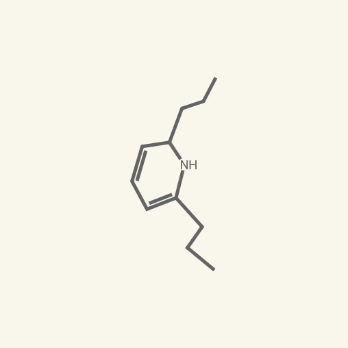 CCCC1=CC=CC(CCC)N1